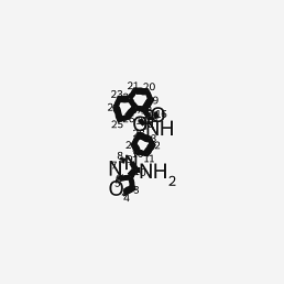 NC1=c2ccoc2=NCN1c1ccc(NS(=O)(=O)c2cccc3ccccc23)cc1